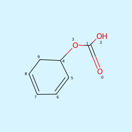 O=C(O)OC1C=CC=CC1